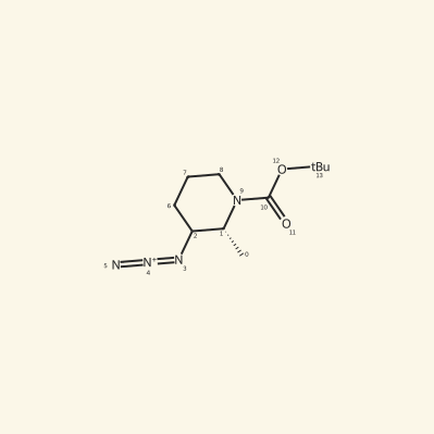 C[C@@H]1C(N=[N+]=[N-])CCCN1C(=O)OC(C)(C)C